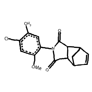 COc1cc(Cl)c(C)cc1N1C(=O)C2C3C=CC(C3)C2C1=O